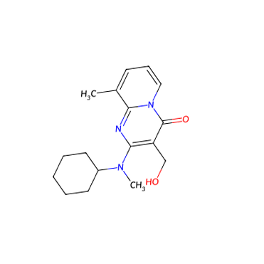 Cc1cccn2c(=O)c(CO)c(N(C)C3CCCCC3)nc12